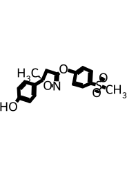 C[C@]1(c2ccc(O)cc2)CC(Oc2ccc(S(C)(=O)=O)cc2)=NO1